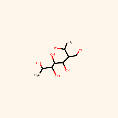 CC(O)C(O)C(O)C(O)C(CO)C(C)O